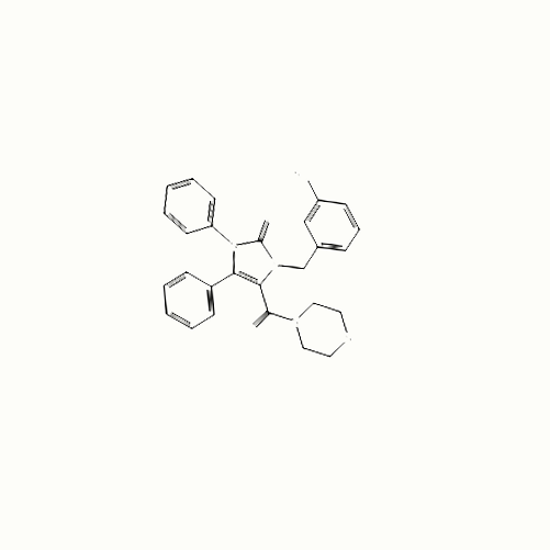 N#Cc1cccc(Cn2c(C(=O)N3CCNCC3)c(-c3ccccc3)n(-c3ccccc3)c2=O)c1